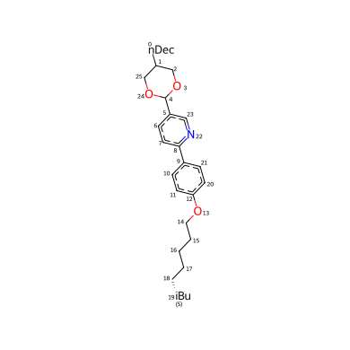 CCCCCCCCCCC1COC(c2ccc(-c3ccc(OCCCCC[C@@H](C)CC)cc3)nc2)OC1